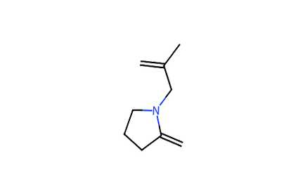 C=C(C)CN1CCCC1=C